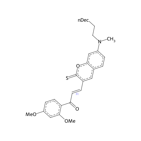 CCCCCCCCCCCCN(C)c1ccc2cc(/C=C/C(=O)c3ccc(OC)cc3OC)c(=S)oc2c1